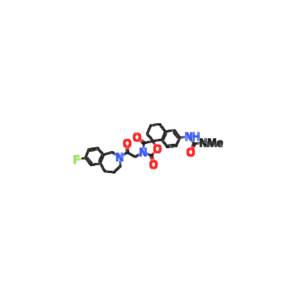 CNC(=O)Nc1ccc2c(c1)CCCC21OC(=O)N(CC(=O)N2CCCc3cc(F)ccc3C2)C1=O